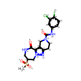 CS(=O)(=O)C1CNC(=O)c2c3c(nn2C1)CCN(C(=O)Nc1ccc(F)c(Cl)c1)C3